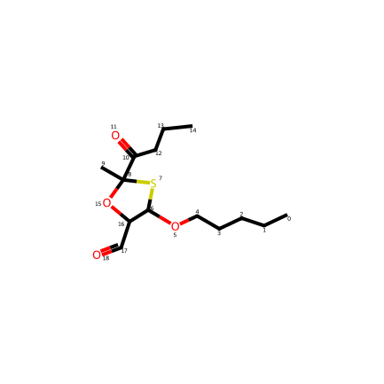 CCCCCOC1SC(C)(C(=O)CCC)OC1C=O